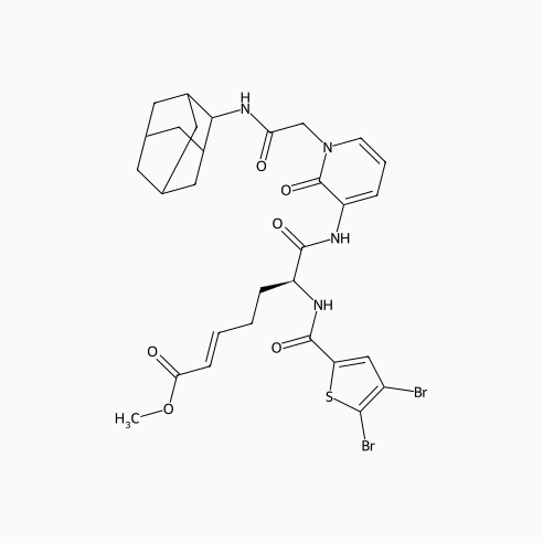 COC(=O)/C=C/CC[C@H](NC(=O)c1cc(Br)c(Br)s1)C(=O)Nc1cccn(CC(=O)NC2C3CC4CC(C3)CC2C4)c1=O